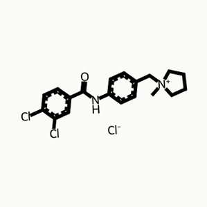 C[N+]1(Cc2ccc(NC(=O)c3ccc(Cl)c(Cl)c3)cc2)CCCC1.[Cl-]